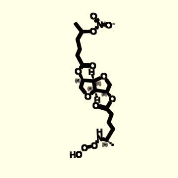 CC(CCCC(=O)O[C@@H]1CO[C@H]2[C@@H]1OC[C@H]2OC(=O)CCC[C@H](C)NOOO)O[N+](=O)[O-]